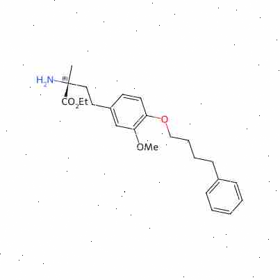 CCOC(=O)[C@](C)(N)CCc1ccc(OCCCCc2ccccc2)c(OC)c1